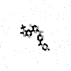 Cc1nc2ncc(-c3nc(Nc4ccc(C(C)N5CCN(C)CC5)cn4)ncc3F)cc2n1C(C)(C)C